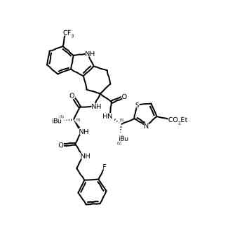 CCOC(=O)c1csc([C@@H](NC(=O)C2(NC(=O)[C@@H](NC(=O)NCc3ccccc3F)[C@@H](C)CC)CCc3[nH]c4c(C(F)(F)F)cccc4c3C2)[C@@H](C)CC)n1